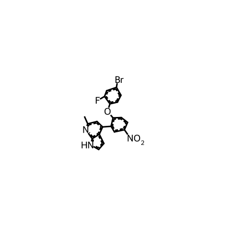 Cc1cc(-c2cc([N+](=O)[O-])ccc2Oc2ccc(Br)cc2F)c2cc[nH]c2n1